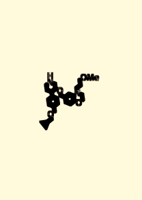 COCCCN1CCOc2ccc(COC3CNCCC3c3ccc(COCC4CC4)cc3)cc21